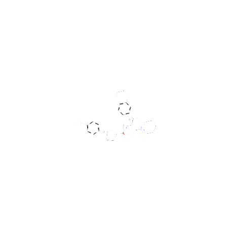 O=C(N[C@H](CN1CCCCC1)[C@H](O)c1ccc2c(c1)OCCO2)[C@H]1CCN(c2ccc(Cl)cc2)C1